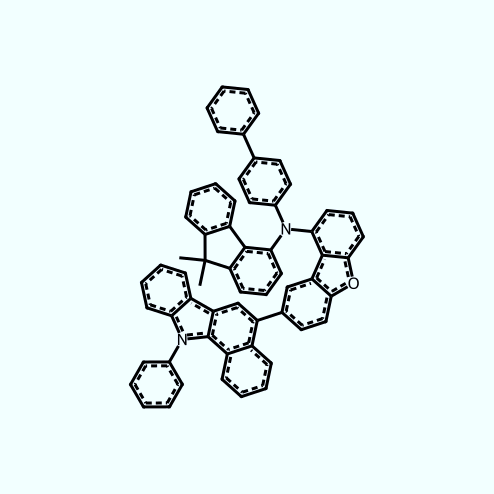 CC1(C)c2ccccc2-c2c(N(c3ccc(-c4ccccc4)cc3)c3cccc4oc5ccc(-c6cc7c8ccccc8n(-c8ccccc8)c7c7ccccc67)cc5c34)cccc21